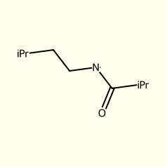 CC(C)CC[N]C(=O)C(C)C